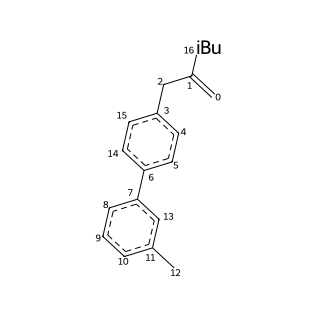 C=C(Cc1ccc(-c2cccc(C)c2)cc1)C(C)CC